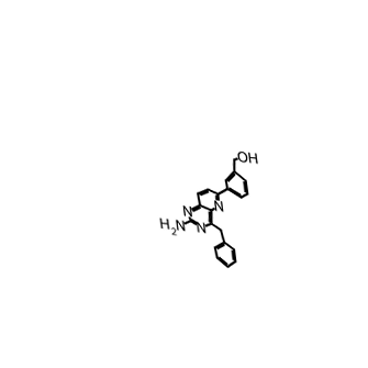 Nc1nc(Cc2ccccc2)c2nc(-c3cccc(CO)c3)ccc2n1